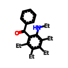 CCNc1c(CC)c(CC)c(CC)c(CC)c1C(=O)c1ccccc1